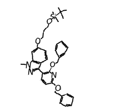 Cn1nc(-c2ccc(OCc3ccccc3)nc2OCc2ccccc2)c2ccc(OCCCO[Si](C)(C)C(C)(C)C)cc21